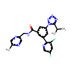 Cc1cnc(CNC(=O)c2cc(-c3ncc(F)cc3F)cc(-n3nnnc3C(C)C)c2)cn1